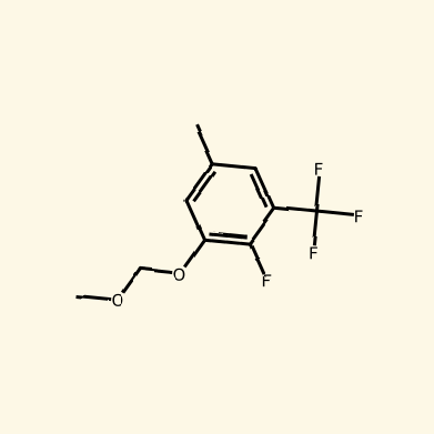 COCOc1cc(C)cc(C(F)(F)F)c1F